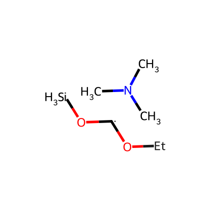 CCO[CH]O[SiH3].CN(C)C